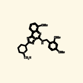 COc1ccc(CNc2nc3c(OC)cccc3c3nc(C4CCCN(C(=O)O)C4)nn23)c(OC)c1